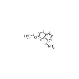 CCOc1ccc2cccc(CN)c2c1